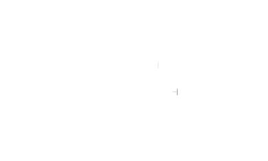 CCCC(P)OC